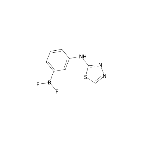 FB(F)c1cccc(Nc2nncs2)c1